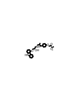 CON(C)C(=O)COc1ccc(CC(C)CNCC(O)COc2cccc3[nH]c4ccccc4c23)cc1